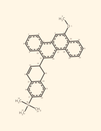 COc1cc2c3ccccc3c(C3C=Cc4cc([Si](C)(C)C)ccc4C3)cc2c2ccccc12